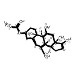 CC(=O)OC1CC[C@@]2(C)C(=CC(O)[C@@H]3[C@H]2C(O)C[C@]2(C)C(O)CC[C@@H]32)C1